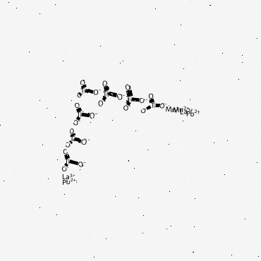 [La+3].[La+3].[Mn+2].[Mn+2].[O]=[Ti]([O-])[O-].[O]=[Ti]([O-])[O-].[O]=[Ti]([O-])[O-].[O]=[Ti]([O-])[O-].[O]=[Ti]([O-])[O-].[O]=[Ti]([O-])[O-].[O]=[Ti]([O-])[O-].[Pb+2].[Pb+2]